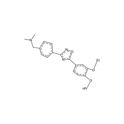 CCCOc1ccc(-c2nc(-c3ccc(CN(C)C)cc3)no2)cc1OCC